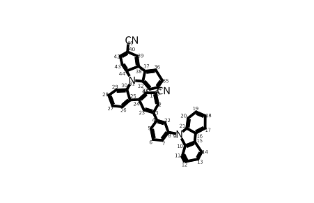 N#Cc1cc(-c2cccc(-n3c4c#cccc4c4ccccc43)c2)cc(-c2ccccc2-n2c3ccccc3c3cc(C#N)ccc32)c1